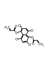 C=CC(=O)Oc1c(Cl)cc(Cl)c2c(OC(=O)C=C)c(Cl)cc(Cl)c12